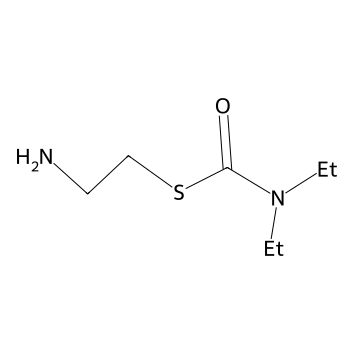 CCN(CC)C(=O)SCCN